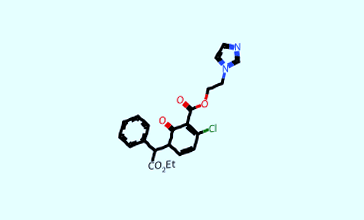 CCOC(=O)C(c1ccccc1)C1C=CC(Cl)=C(C(=O)OCCn2ccnc2)C1=O